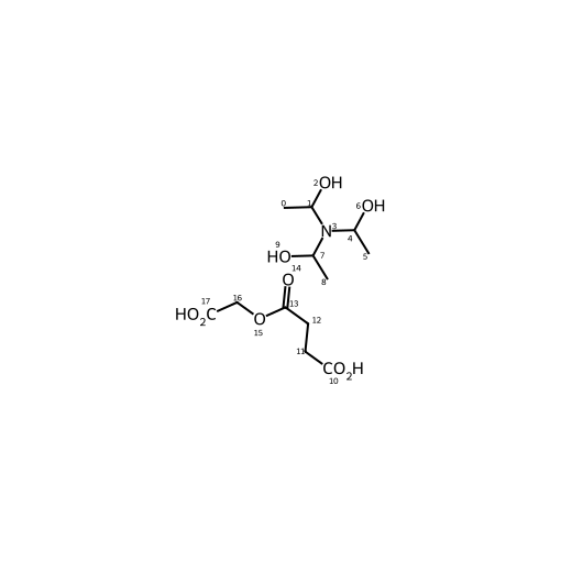 CC(O)N(C(C)O)C(C)O.O=C(O)CCC(=O)OCC(=O)O